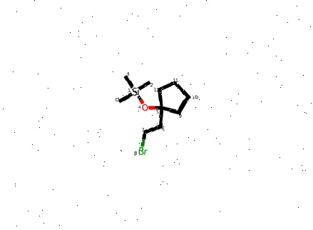 C[Si](C)(C)OC1(CCBr)CCCC1